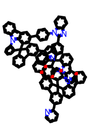 c1ccc(-c2ccc3c(c2)-c2ccc(-c4cccc(-c5ncccc5-c5ccc6c(c5)-c5ccccc5C65c6ccccc6-n6c7ccccc7c7cc(-c8ccc(-n9c(-c%10ccc%11c(c%10)-c%10ccccc%10C%11%10c%11ccccc%11-n%11c%12ccccc%12c%12cccc%10c%12%11)nc%10ccccc%109)cc8)cc5c76)c4)cc2C32c3ccccc3-n3c4ccccc4c4cccc2c43)nc1